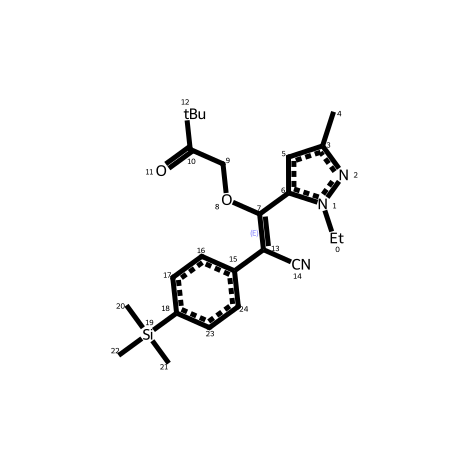 CCn1nc(C)cc1/C(OCC(=O)C(C)(C)C)=C(\C#N)c1ccc([Si](C)(C)C)cc1